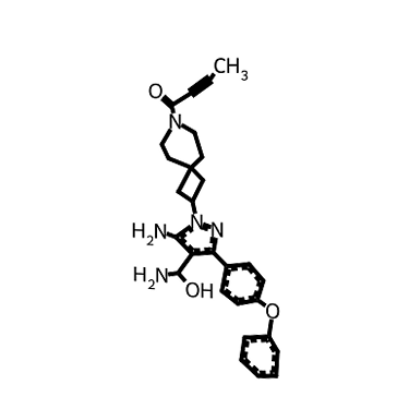 CC#CC(=O)N1CCC2(CC1)CC(n1nc(-c3ccc(Oc4ccccc4)cc3)c(C(N)O)c1N)C2